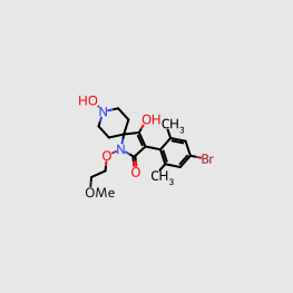 COCCON1C(=O)C(c2c(C)cc(Br)cc2C)=C(O)C12CCN(O)CC2